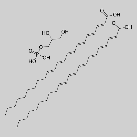 CCCCCCCCCC=CC=CC=CC=CC=CC=CC(=O)O.CCCCCCCCCC=CC=CC=CC=CC=CC=CC(=O)O.O=P(O)(O)OC[C@H](O)CO